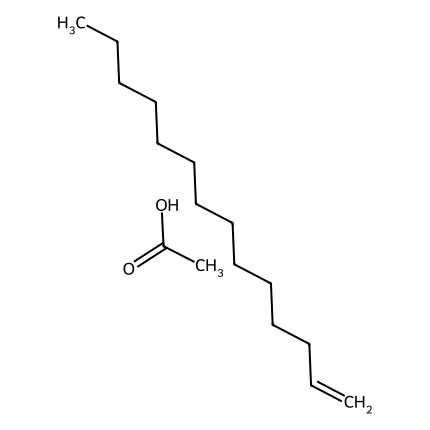 C=CCCCCCCCCCCCC.CC(=O)O